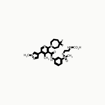 Cc1c(-c2cnn(C)c2)cnc(N2CCCC(F)(F)CC2)c1C(=O)Nc1cccc(S(C)(=O)=NCCNC(=O)O)c1